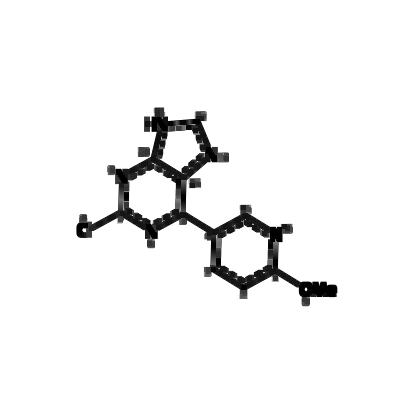 COc1ccc(-c2nc(Cl)nc3[nH]cnc23)cn1